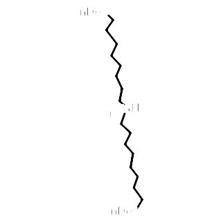 CCCCCCCCCCCCCCCCCCNCCCCCCCCCCCCCCCCCC.[LiH]